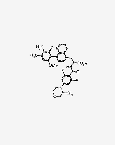 COc1cc(C)n(C)c(=O)c1-c1ccc(C[C@H](NC(=O)c2c(F)cc(N3CCOC[C@@H]3C(F)(F)F)cc2F)C(=O)O)c2cccnc12